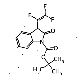 CC(C)(C)OC(=O)N1C(=O)C(C(F)=C(F)F)c2ccccc21